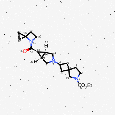 CCOC(=O)N1CCC2(CC(N3C[C@@H]4[C@H](C3)[C@@H]4C(=O)N3CCC34CC4)C2)C1